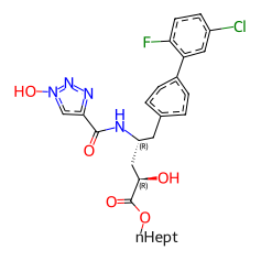 CCCCCCCOC(=O)[C@H](O)C[C@@H](Cc1ccc(-c2cc(Cl)ccc2F)cc1)NC(=O)c1cn(O)nn1